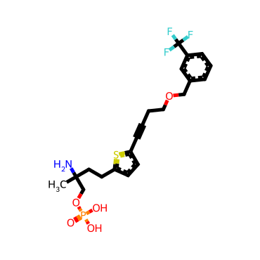 CC(N)(CCc1ccc(C#CCCOCc2cccc(C(F)(F)F)c2)s1)COP(=O)(O)O